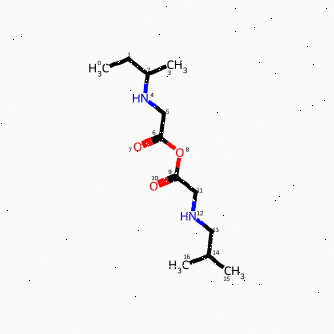 CCC(C)NCC(=O)OC(=O)CNCC(C)C